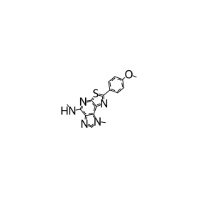 CNc1nc2sc(-c3ccc(OC)cc3)nc2c2c1ncn2C